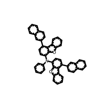 c1ccc(N(c2ccc(-c3ccc4ccccc4c3)c3c2oc2ccccc23)c2ccc(-c3ccc4ccccc4c3)c3c2oc2ccccc23)cc1